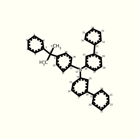 CC(C)(c1ccccc1)c1ccc(N(c2cccc(-c3ccccc3)c2)c2cccc(-c3ccccc3)c2)cc1